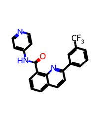 O=C(Nc1ccncc1)c1cccc2ccc(-c3cccc(C(F)(F)F)c3)nc12